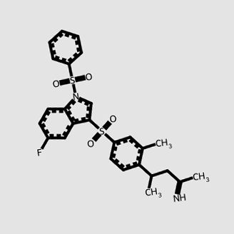 CC(=N)CC(C)c1ccc(S(=O)(=O)c2cn(S(=O)(=O)c3ccccc3)c3ccc(F)cc23)cc1C